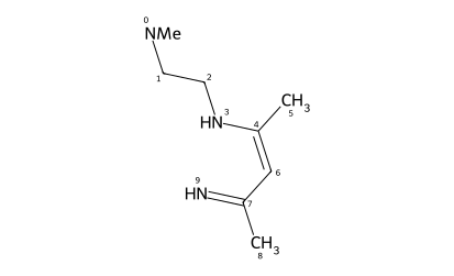 CNCCN/C(C)=C\C(C)=N